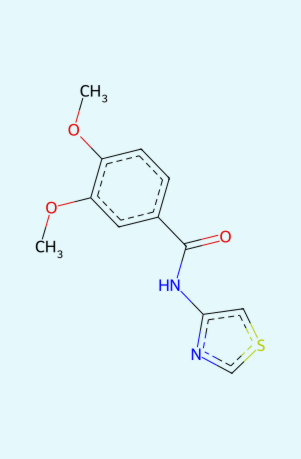 COc1ccc(C(=O)Nc2cscn2)cc1OC